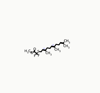 COC(=O)C(F)(F)SC/C=C(\C)CC/C=C(\C)CCC=C(C)C